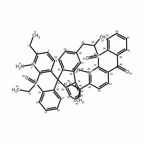 CCc1ccc2c([n+]1N)P(=O)(CC)c1ccccc1C21c2ccccc2-c2cc(CC(C)P3(=O)c4ccccc4C(=O)c4ccc(C(C)C)[n+](N)c43)ccc21